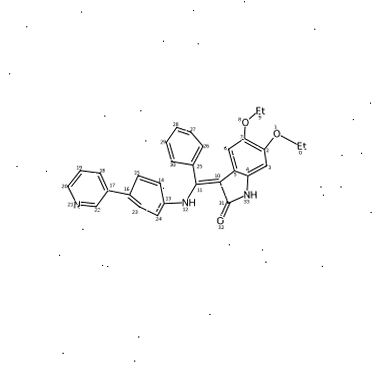 CCOc1cc2c(cc1OCC)/C(=C(/Nc1ccc(-c3cccnc3)cc1)c1ccccc1)C(=O)N2